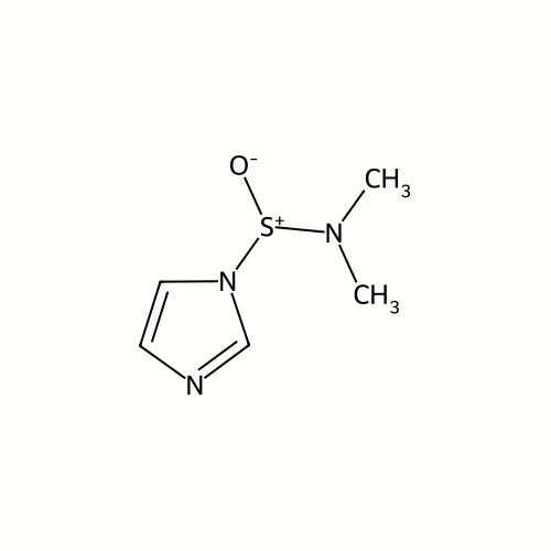 CN(C)[S+]([O-])n1ccnc1